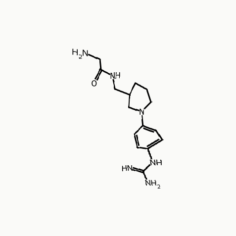 N=C(N)Nc1ccc(N2CCCC(CNC(=O)CN)C2)cc1